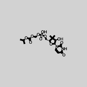 CC(C)OC(=O)OCOP(=O)(O)OC[C@H]1O[C@@H](n2ccc(=O)[nH]c2=O)[C@H](O)C1(C)C